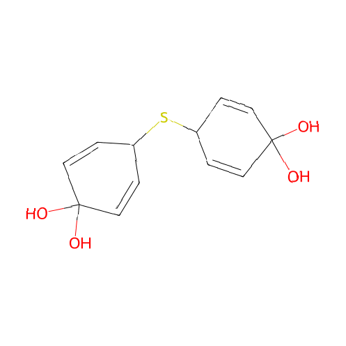 OC1(O)C=CC(SC2C=CC(O)(O)C=C2)C=C1